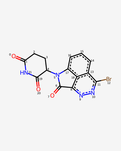 O=C1CCC(N2C(=O)c3nnc(Br)c4cccc2c34)C(=O)N1